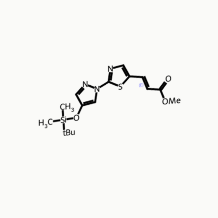 COC(=O)/C=C/c1cnc(-n2cc(O[Si](C)(C)C(C)(C)C)cn2)s1